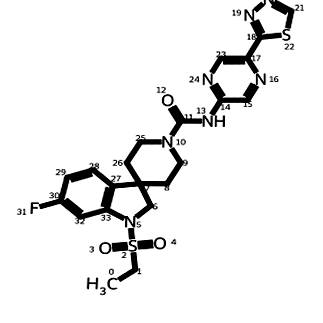 CCS(=O)(=O)N1CC2(CCN(C(=O)Nc3cnc(-c4nncs4)cn3)CC2)c2ccc(F)cc21